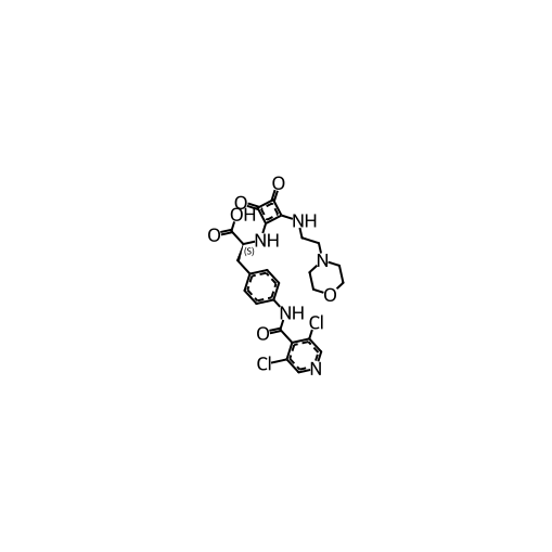 O=C(Nc1ccc(C[C@H](Nc2c(NCCN3CCOCC3)c(=O)c2=O)C(=O)O)cc1)c1c(Cl)cncc1Cl